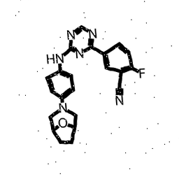 N#Cc1cc(-c2ncnc(Nc3ccc(N4CC5CCC(C4)O5)cc3)n2)ccc1F